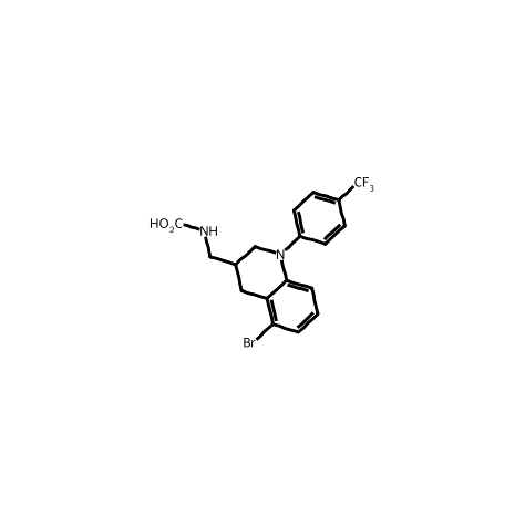 O=C(O)NCC1Cc2c(Br)cccc2N(c2ccc(C(F)(F)F)cc2)C1